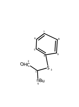 CCCCC(C=O)Sc1ccccc1